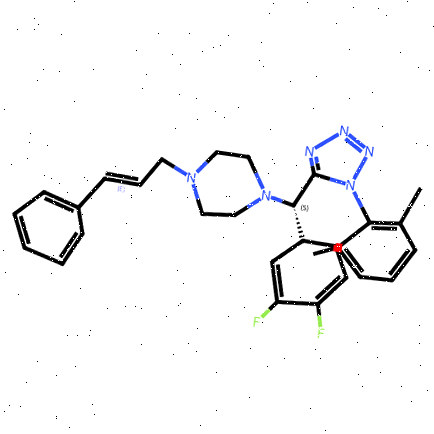 Cc1cccc(C)c1-n1nnnc1[C@H](C1C=C(F)C(F)=CC1)N1CCN(C/C=C/c2ccccc2)CC1